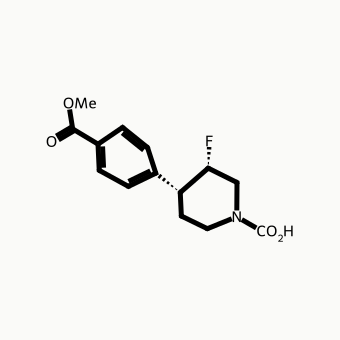 COC(=O)c1ccc([C@H]2CCN(C(=O)O)C[C@H]2F)cc1